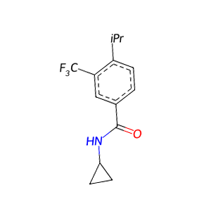 CC(C)c1ccc(C(=O)NC2CC2)cc1C(F)(F)F